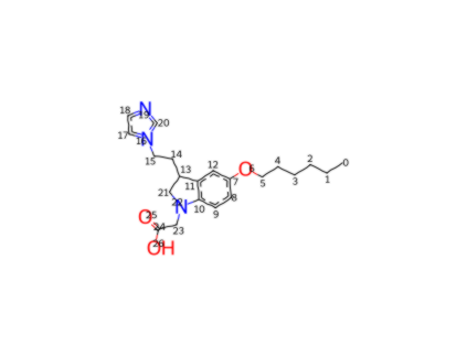 CCCCCCOc1ccc2c(c1)C(CCn1ccnc1)CN2CC(=O)O